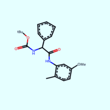 COc1ccc(C)c(NC(=O)C(NC(=O)OC(C)(C)C)c2ccccc2)c1